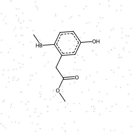 CBc1ccc(O)cc1CC(=O)OC